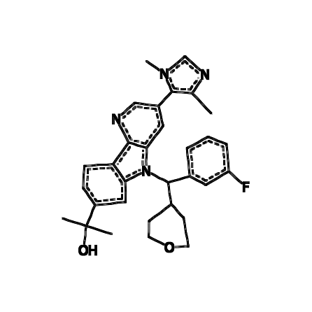 Cc1ncn(C)c1-c1cnc2c3ccc(C(C)(C)O)cc3n(C(c3cccc(F)c3)C3CCOCC3)c2c1